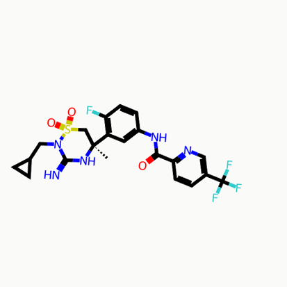 C[C@@]1(c2cc(NC(=O)c3ccc(C(F)(F)F)cn3)ccc2F)CS(=O)(=O)N(CC2CC2)C(=N)N1